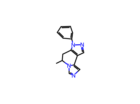 CC1Cc2c(cnn2-c2ccccc2)-c2cncn21